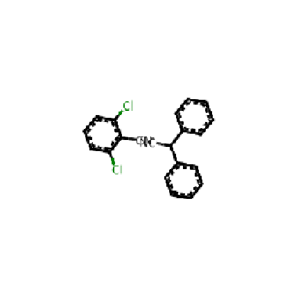 N#CC(c1ccccc1)c1ccccc1.N#Cc1c(Cl)cccc1Cl